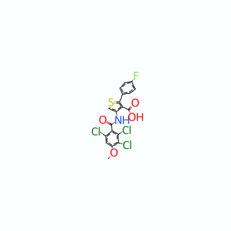 COc1cc(Cl)c(C(=O)Nc2csc(-c3ccc(F)cc3)c2C(=O)O)c(Cl)c1Cl